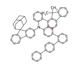 CC1(C)c2ccccc2-c2cccc(-c3ccccc3N(c3ccc(-c4ccccc4-c4ccc(-c5ccccc5)cc4)cc3)c3ccc4c(c3)C3(c5ccccc5-4)C4CC5CC(C4)CC3C5)c21